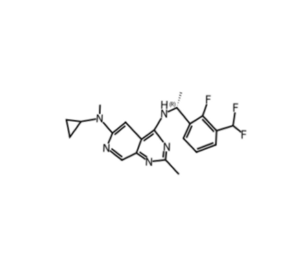 Cc1nc(N[C@H](C)c2cccc(C(F)F)c2F)c2cc(N(C)C3CC3)ncc2n1